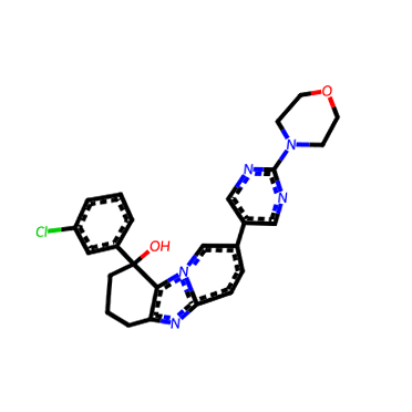 OC1(c2cccc(Cl)c2)CCCc2nc3ccc(-c4cnc(N5CCOCC5)nc4)cn3c21